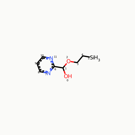 OC(OCC[SiH3])c1ncccn1